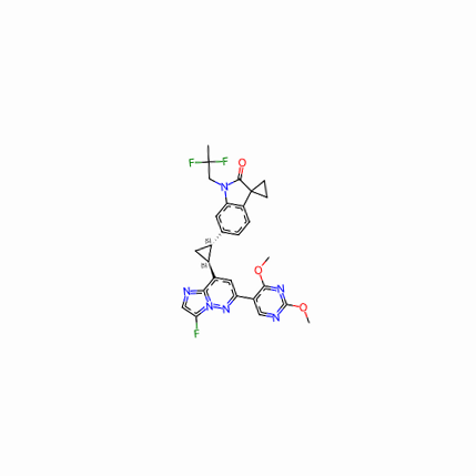 COc1ncc(-c2cc([C@H]3C[C@@H]3c3ccc4c(c3)N(CC(C)(F)F)C(=O)C43CC3)c3ncc(F)n3n2)c(OC)n1